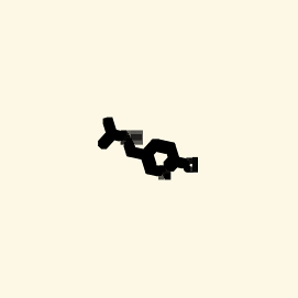 CC(C)NCc1ccc(Cl)nc1